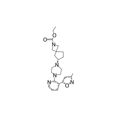 CCOC(=O)N1CC2(CC[C@@H](N3CCN(c4ncccc4-c4cc(C)no4)CC3)C2)C1